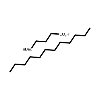 CCCCCCCCCCCC.CCCCCCCCCCCCCC(=O)O